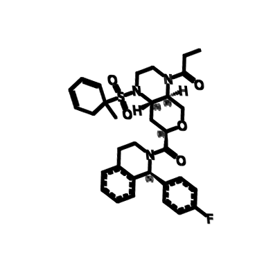 CCC(=O)N1CCN(S(=O)(=O)C2(C)C=CC=CC2)[C@H]2C[C@H](C(=O)N3CCc4ccccc4[C@@H]3c3ccc(F)cc3)OC[C@@H]21